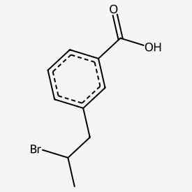 CC(Br)Cc1cccc(C(=O)O)c1